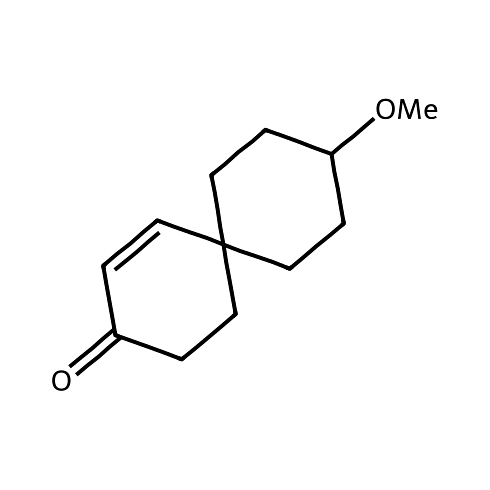 COC1CCC2(C=CC(=O)CC2)CC1